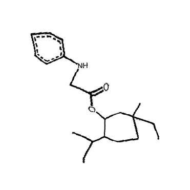 CCC1(C)CCC(C(C)C)C(OC(=O)CNc2ccccc2)C1